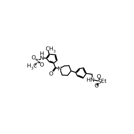 CCS(=O)(=O)NCc1ccc(C2CCN(C(=O)c3ccc(C)c(NS(C)(=O)=O)c3)CC2)cc1